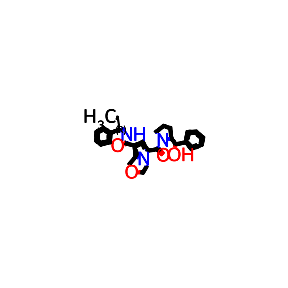 CC[C@@H](NC(=O)c1cc(C(=O)N2CCCC2C(O)c2ccccc2)n2c1COCC2)c1ccccc1